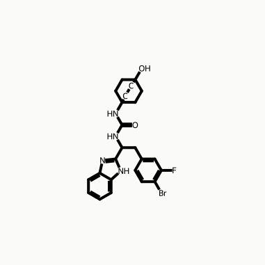 O=C(NC(Cc1ccc(Br)c(F)c1)c1nc2ccccc2[nH]1)NC12CCC(O)(CC1)CC2